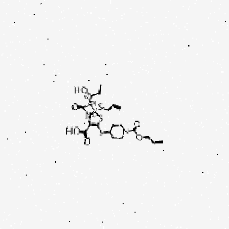 C=CCOC(=O)N1CCC(SC2=C(C(=O)O)N3C(=O)[C@@H]([C@@H](O)CC)[C@@]3(SCC=C)S2)CC1